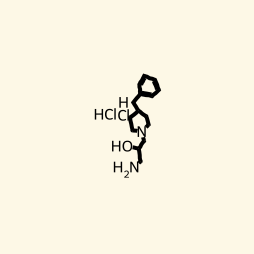 Cl.Cl.NCC(O)CN1CCC(Cc2ccccc2)CC1